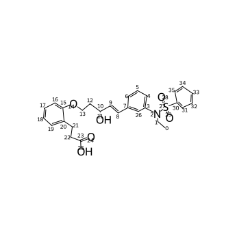 CCN(c1cccc(/C=C/[C@H](O)CCOc2ccccc2CCC(=O)O)c1)S(=O)(=O)c1ccccc1